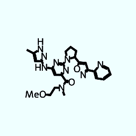 COCCN(C)C(=O)c1cc(Nc2cc(C)[nH]n2)nc(N2CCCC2c2cc(-c3ccccn3)no2)n1